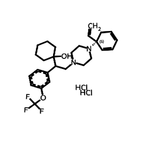 C=C[C@]1(N2CCN(CC(c3cccc(OC(F)(F)F)c3)C3(O)CCCCC3)CC2)C=CC=CC1.Cl.Cl